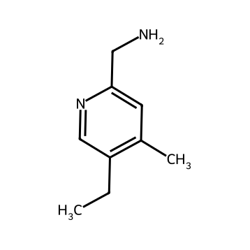 CCc1cnc(CN)cc1C